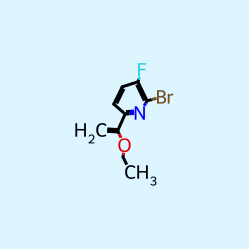 C=C(OCC)c1ccc(F)c(Br)n1